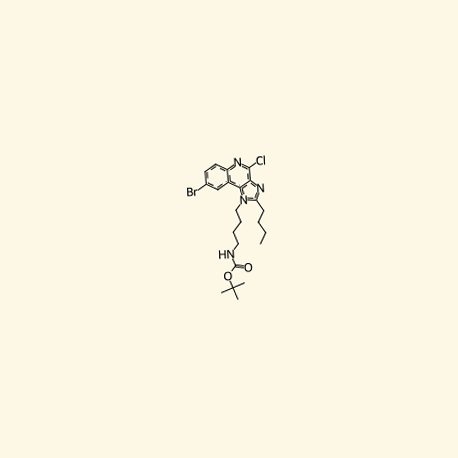 CCCCc1nc2c(Cl)nc3ccc(Br)cc3c2n1CCCCNC(=O)OC(C)(C)C